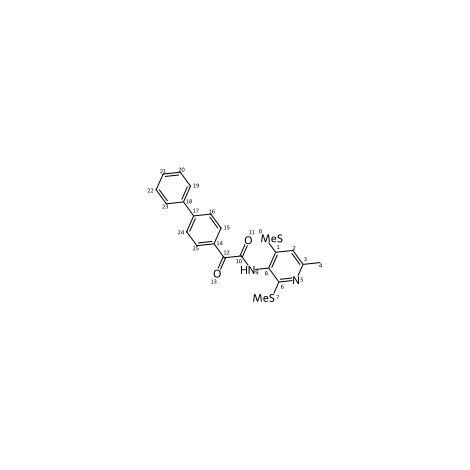 CSc1cc(C)nc(SC)c1NC(=O)C(=O)c1ccc(-c2ccccc2)cc1